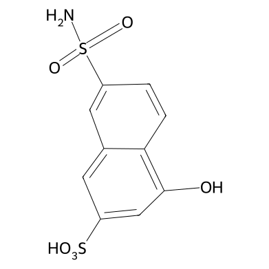 NS(=O)(=O)c1ccc2c(O)cc(S(=O)(=O)O)cc2c1